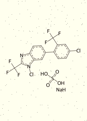 FC(F)(F)c1cc(Cl)ccc1-c1ccc2nc(C(F)(F)F)n(Cl)c2c1.O=S(=O)(O)O.[NaH]